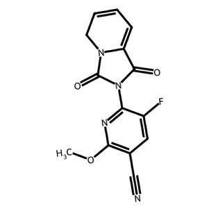 COc1nc(N2C(=O)C3=CC=CCN3C2=O)c(F)cc1C#N